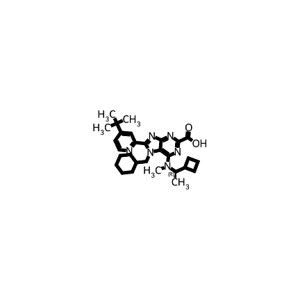 C[C@H](C1CCC1)N(C)c1nc(C(=O)O)nc2nc(-c3cc(C(C)(C)C)ccn3)n(CC3CCCCC3)c12